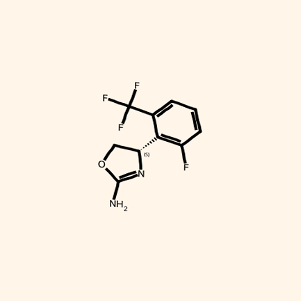 NC1=N[C@@H](c2c(F)cccc2C(F)(F)F)CO1